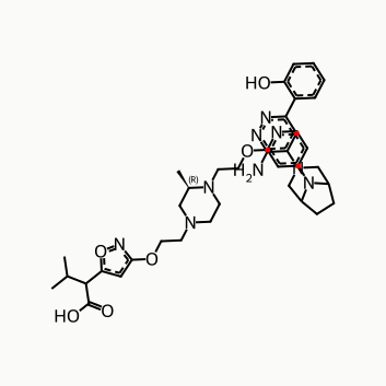 CC(C)C(C(=O)O)c1cc(OCCN2CCN(CCOc3cc(N4C5CCC4CN(c4cc(-c6ccccc6O)nnc4N)C5)ccn3)[C@H](C)C2)no1